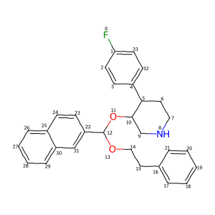 Fc1ccc(C2CCNCC2OC(OCCc2ccccc2)c2ccc3ccccc3c2)cc1